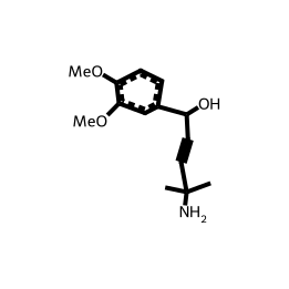 COc1ccc(C(O)C#CC(C)(C)N)cc1OC